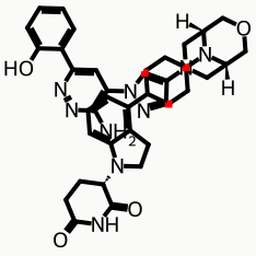 Nc1nnc(-c2ccccc2O)cc1-n1cc(N2C[C@H]3COC[C@@H](C2)N3C2CCC(c3cccc4c3CCN4[C@H]3CCC(=O)NC3=O)CC2)cn1